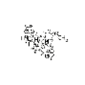 COc1ccc(C2=C[C@@]3(C)[C@@H](CCC34OCCO4)[C@@H]3CC=C4CC5(CC[C@]4(C)[C@@H]23)OCCO5)cc1